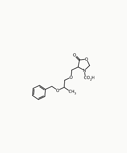 CC(COCC1C(=O)OCN1C(=O)O)OCc1ccccc1